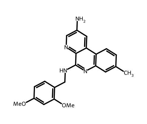 COc1ccc(CNc2nc3cc(C)ccc3c3cc(N)cnc23)c(OC)c1